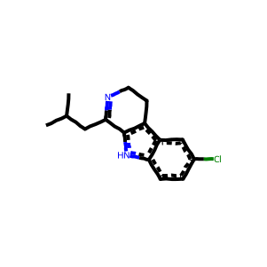 CC(C)CC1=NCCc2c1[nH]c1ccc(Cl)cc21